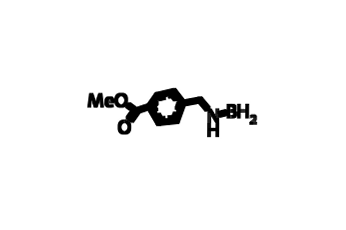 BNCc1ccc(C(=O)OC)cc1